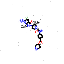 COc1nc(N)c(Cl)cc1C(=O)N[C@@H]1CCN(CC(=O)Nc2ccc(C(=O)OC3(C)CCN(C)CC3)cc2)C[C@@H]1OC